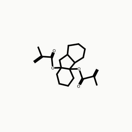 C=C(C)C(=O)OC12CCCCC1(OC(=O)C(=C)C)C1CCCCC1C2